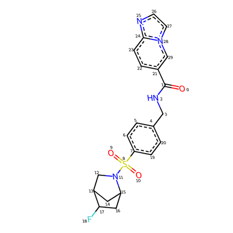 O=C(NCc1ccc(S(=O)(=O)N2CC3CC2CC3F)cc1)c1ccc2nccn2c1